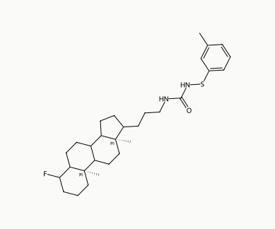 Cc1cccc(SNC(=O)NCCCC2CCC3C4CCC5C(F)CCC[C@]5(C)C4CC[C@]23C)c1